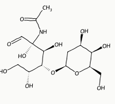 CC(=O)N[C@](O)(C=O)[C@@H](O)[C@H](O[C@H]1C[C@@H](O)[C@@H](O)[C@@H](CO)O1)[C@H](O)CO